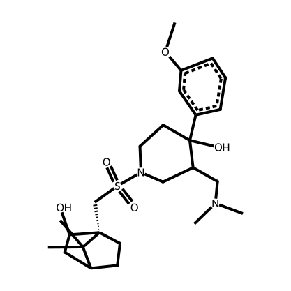 COc1cccc(C2(O)CCN(S(=O)(=O)C[C@@]34CCC(CC3O)C4(C)C)CC2CN(C)C)c1